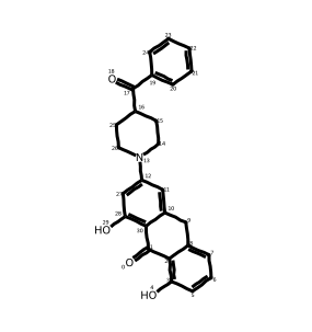 O=C1c2c(O)cccc2Cc2cc(N3CCC(C(=O)c4ccccc4)CC3)cc(O)c21